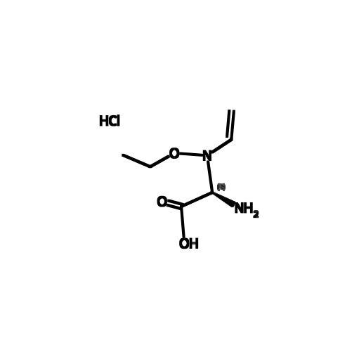 C=CN(OCC)[C@@H](N)C(=O)O.Cl